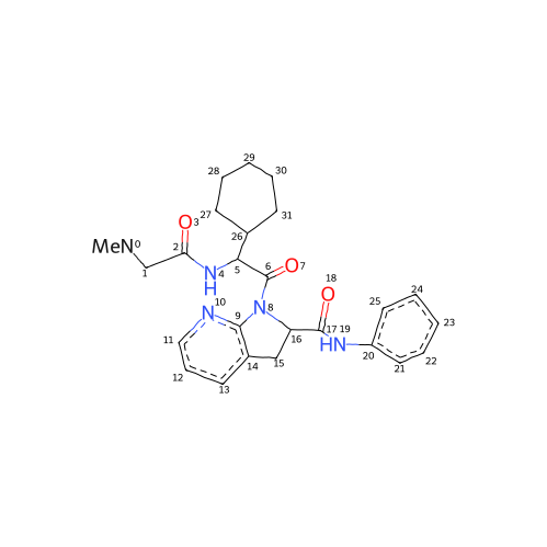 CNCC(=O)NC(C(=O)N1c2ncccc2CC1C(=O)Nc1ccccc1)C1CCCCC1